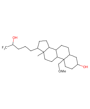 COCC12CCC(O)CC1CCC1C3CCC(CCCC(O)C(F)(F)F)C3(C)CCC12